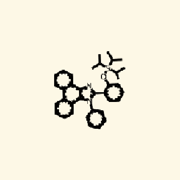 CC(C)[Si](Oc1ccccc1-c1nc2c3ccccc3c3ccccc3c2n1-c1ccccc1)(C(C)C)C(C)C